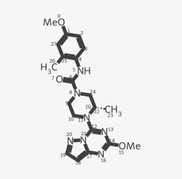 COc1ccc(NC(=O)N2CCN(c3nc(OC)nc4ccnn34)[C@@H](C)C2)c(C)c1